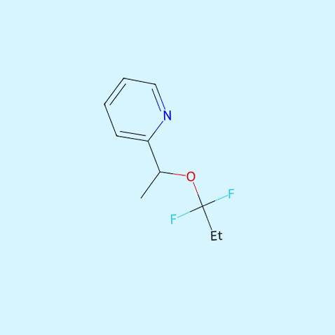 CCC(F)(F)OC(C)c1ccccn1